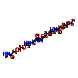 CNC(=O)CCOCCOCCNCCNC(=O)COCCOCCNC(=O)COCCOCI